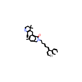 C#CC1=C(CC2=C3CC(=CC(C)=C2)CN(CC/C=C/C=C(\C=C/CC)C(/C=C\C)=C/C)C3=O)C(C)(C)CC=N1